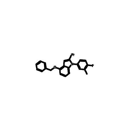 Cc1cc(-n2c(C(C)C)cc3c(OCc4ccccc4)cccc32)ccc1F